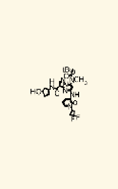 CN(C(=O)OC(C)(C)C)c1cc(Nc2cccn(C3CC(F)(F)C3)c2=O)nc2c(C(=O)N[C@@H]3CC[C@@H](O)C3)cnn12